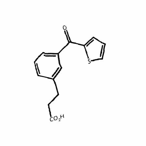 O=C(O)CCc1cccc(C(=O)c2cccs2)c1